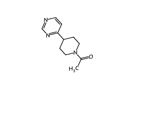 CC(=O)N1CCC(c2ccncn2)CC1